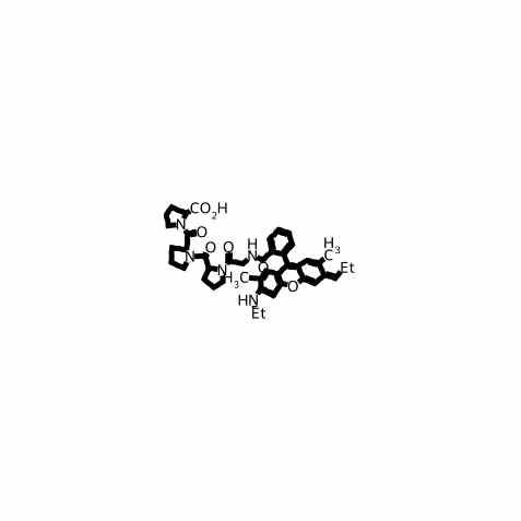 CC/C=c1/cc2c(cc1C)=C(c1ccccc1C(=O)NCC(=O)N1CCCC1C(=O)N1CCCC1C(=O)N1CCCC1C(=O)O)c1cc(C)c(NCC)cc1O2